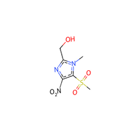 Cn1c(CO)nc([N+](=O)[O-])c1S(C)(=O)=O